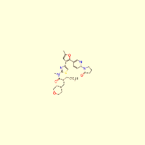 Cc1cc(-c2csc(N(C)C(=O)C(CC(=O)O)CC3CCOCC3)n2)c(-c2ccc(N3CCCC3=O)nc2)o1